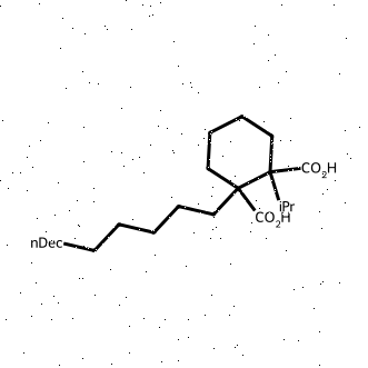 CCCCCCCCCCCCCCCC1(C(=O)O)CCCCC1(C(=O)O)C(C)C